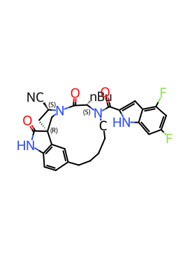 CCCC[C@H]1C(=O)N2C[C@]3(C[C@H]2C#N)C(=O)Nc2ccc(cc23)CCCCCN1C(=O)c1cc2c(F)cc(F)cc2[nH]1